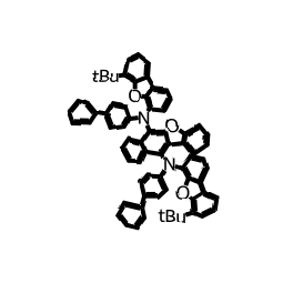 CC(C)(C)c1cccc2c1oc1c(N(c3ccc(-c4ccccc4)cc3)c3c4ccccc4c(N(c4ccc(-c5ccccc5)cc4)c4cccc5c4oc4c(C(C)(C)C)cccc45)c4c3oc3ccccc34)cccc12